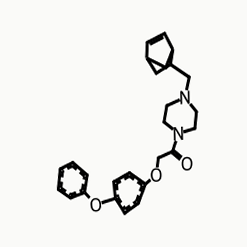 O=C(COc1ccc(Oc2ccccc2)cc1)N1CCN(CC2CC3C=CC2C3)CC1